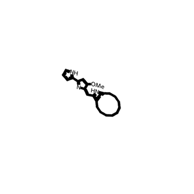 COC1=CC(c2ccc[nH]2)=NC1=Cc1[nH]c2cc1CCCCCCCCC2